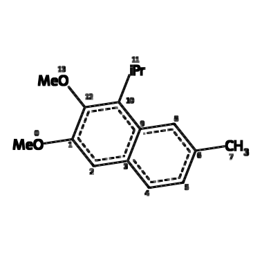 COc1cc2ccc(C)cc2c(C(C)C)c1OC